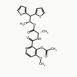 COc1ccnc(C(=O)N[C@@H](C)C(=O)O[C@@H](C)C(c2cccs2)c2cccs2)c1OC(C)=O